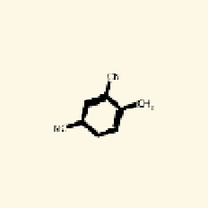 CC1=CCC(C#N)C=C1C#N